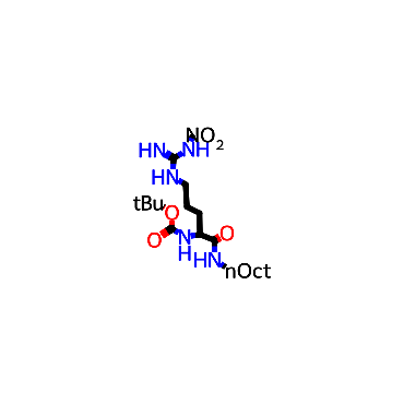 CCCCCCCCNC(=O)C(CCCNC(=N)N[N+](=O)[O-])NC(=O)OC(C)(C)C